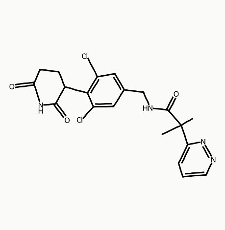 CC(C)(C(=O)NCc1cc(Cl)c(C2CCC(=O)NC2=O)c(Cl)c1)c1cccnn1